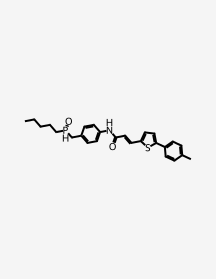 CCCCC[PH](=O)Cc1ccc(NC(=O)/C=C/c2ccc(-c3ccc(C)cc3)s2)cc1